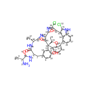 CC(C)C(N)C(=O)N[C@H]1Cc2ccc(O)c(c2)[C@]23c4cccc(c4OC2C)-c2cccc4[nH]c(Cl)c(c24)-c2oc(nc2Cl)-c2nc(oc23)[C@H](C(C)C)NC1=O